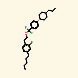 CCCCCc1ccc(CCOC(F)(F)c2ccc([C@H]3CC[C@H](CCC)CC3)cc2)c(F)c1